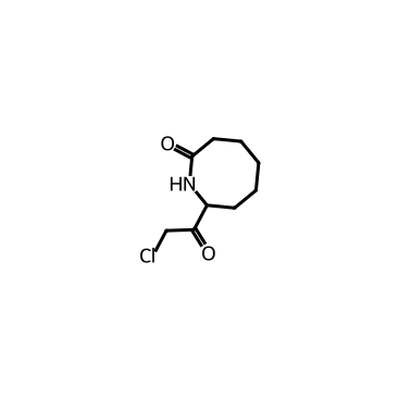 O=C1CCCCCC(C(=O)CCl)N1